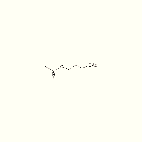 CC(=O)OCCCO[SiH](C)C